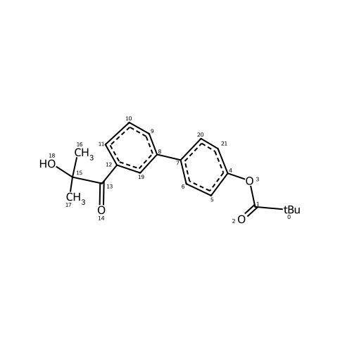 CC(C)(C)C(=O)Oc1ccc(-c2cccc(C(=O)C(C)(C)O)c2)cc1